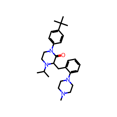 CC(C)N1CCN(c2ccc(C(C)(C)C)cc2)C(=O)C1Cc1ccccc1N1CCN(C)CC1